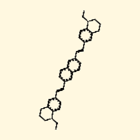 CCN1CCCc2cc(C=Cc3ccc4cc(C=Cc5ccc6c(c5)CCCN6CC)ccc4c3)ccc21